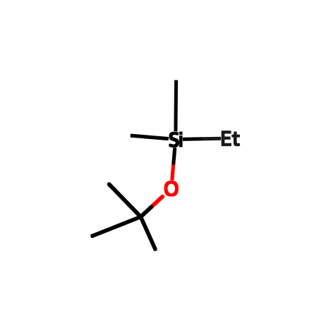 CC[Si](C)(C)OC(C)(C)C